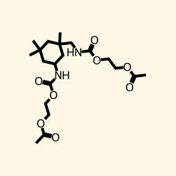 CC(=O)OCCOC(=O)NCC1(C)CC(NC(=O)OCCOC(C)=O)CC(C)(C)C1